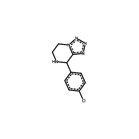 Clc1ccc(C2NCCn3nnnc32)cc1